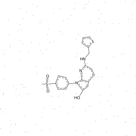 CS(=O)(=O)c1ccc(-n2c(O)cc3ccc(NCc4cccs4)nc32)cc1